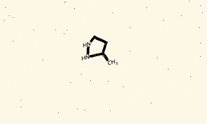 CC1[CH]CNN1